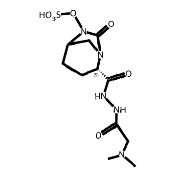 CN(C)CC(=O)NNC(=O)[C@@H]1CCC2CN1C(=O)N2OS(=O)(=O)O